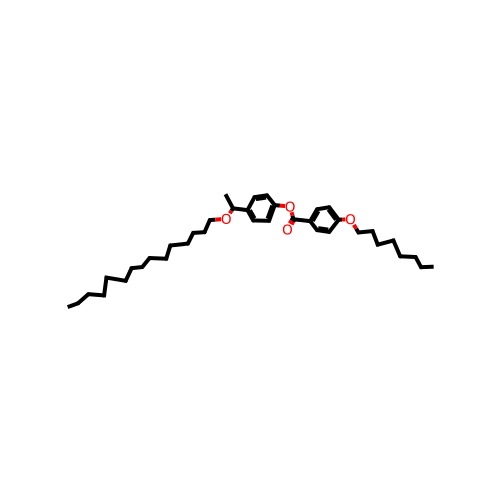 CCCCCCCCCCCCCCCOC(C)c1ccc(OC(=O)c2ccc(OCCCCCCCC)cc2)cc1